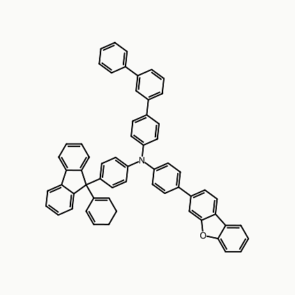 C1=CC(C2(c3ccc(N(c4ccc(-c5cccc(-c6ccccc6)c5)cc4)c4ccc(-c5ccc6c(c5)oc5ccccc56)cc4)cc3)c3ccccc3-c3ccccc32)=CCC1